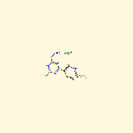 Cc1nc(CN)cc(-c2ccc(C(F)(F)F)nc2)n1.Cl